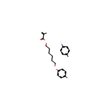 C=C(C)C(=O)OCCCCCCOc1ccc(C(=O)O)cc1.Cc1ccc(N)cc1